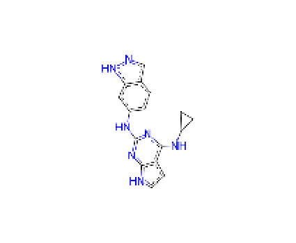 c1cc2c(NC3CC3)nc(Nc3ccc4cn[nH]c4c3)nc2[nH]1